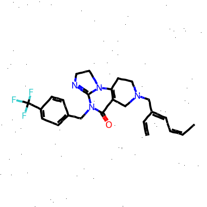 C=C/C(=C\C=C/C)CN1CCC2=C(C1)C(=O)N(Cc1ccc(C(F)(F)F)cc1)C1=NCCN12